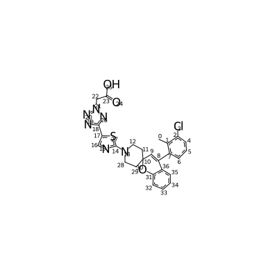 Cc1c(Cl)cccc1C1=CC2(CCN(c3ncc(-c4nnn(CC(=O)O)n4)s3)CC2)Oc2ccccc21